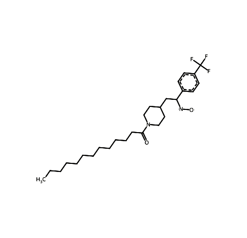 CCCCCCCCCCCCC(=O)N1CCC(CC([N][O])c2ccc(C(F)(F)F)cc2)CC1